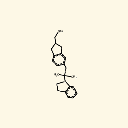 CC(C)(C)CC1Cc2ccc(CC(C)(C)N3CCc4ccccc43)cc2C1